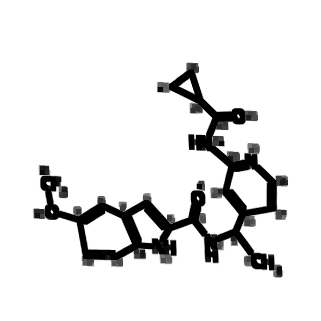 CC(NC(=O)c1cc2cc(OC(F)(F)F)ccc2[nH]1)c1ccnc(NC(=O)C2CC2)c1